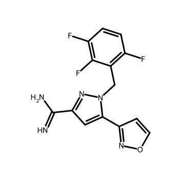 N=C(N)c1cc(-c2ccon2)n(Cc2c(F)ccc(F)c2F)n1